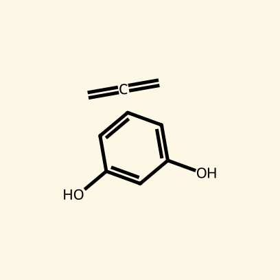 C=C=C.Oc1cccc(O)c1